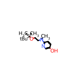 CN(CCO[Si](C)(C)C(C)(C)C)c1ccc(O)cn1